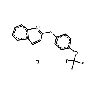 FC(F)(F)Oc1ccc(NC2=[N+]c3ccccc3C=C2)cc1.[Cl-]